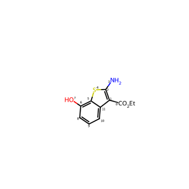 CCOC(=O)c1c(N)sc2c(O)cccc12